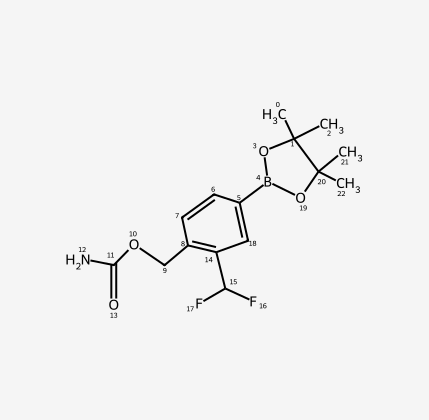 CC1(C)OB(c2ccc(COC(N)=O)c(C(F)F)c2)OC1(C)C